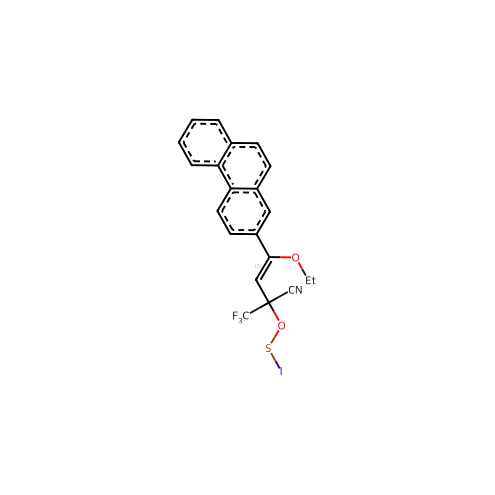 CCO/C(=C\C(C#N)(OSI)C(F)(F)F)c1ccc2c(ccc3ccccc32)c1